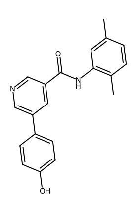 Cc1ccc(C)c(NC(=O)c2cncc(-c3ccc(O)cc3)c2)c1